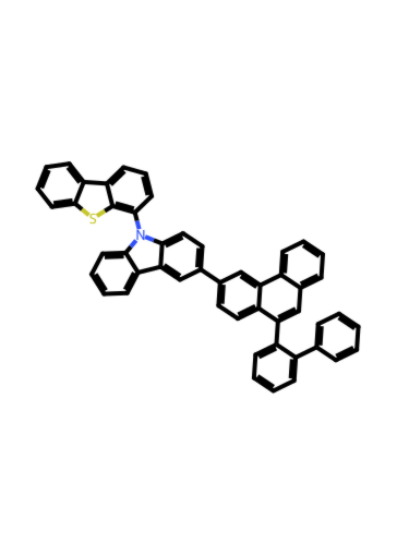 c1ccc(-c2ccccc2-c2cc3ccccc3c3cc(-c4ccc5c(c4)c4ccccc4n5-c4cccc5c4sc4ccccc45)ccc23)cc1